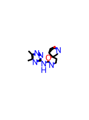 Cc1nnc(NC2=NCCC3(CN4CCC3CC4)O2)nc1C